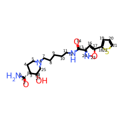 NC(=O)[C@@H]1CCN(CCCCCNC(=O)c2cc(-c3cccs3)on2)C[C@H]1O